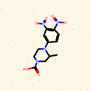 CC1CN(C(=O)O)CCN1c1ccc([N+](=O)[O-])c([N+](=O)[O-])c1